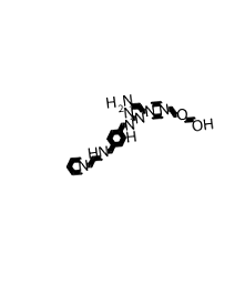 Nc1cc(N2CCN(CCOCCO)CC2)nc(NCC2CCC(CNCCCN3CCCCC3)CC2)n1